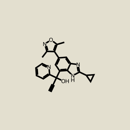 C#CC(O)(c1ccccn1)c1cc(-c2c(C)noc2C)cc2nc(C3CC3)[nH]c12